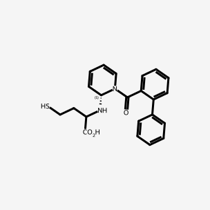 O=C(O)C(CCS)N[C@@H]1C=CC=CN1C(=O)c1ccccc1-c1ccccc1